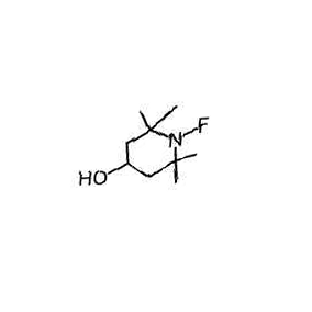 CC1(C)CC(O)CC(C)(C)N1F